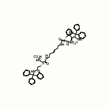 CC(C)(C)C(C[C@H](NC(=O)O)C(=O)NCCC=CCCNC(=O)[C@H](CCC(=O)NC(c1ccccc1)(c1ccccc1)c1ccccc1)NC(=O)O)C(=O)N(C(C)(C)C)C(c1ccccc1)(c1ccccc1)c1ccccc1